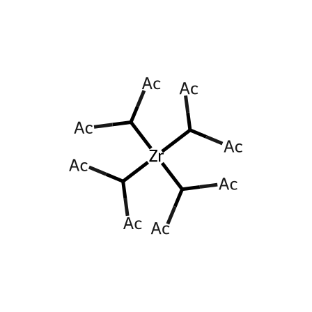 CC(=O)[CH](C(C)=O)[Zr]([CH](C(C)=O)C(C)=O)([CH](C(C)=O)C(C)=O)[CH](C(C)=O)C(C)=O